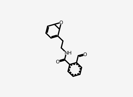 O=Cc1ccccc1C(=O)NCCC1=CC=CC2OC12